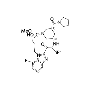 COCCCCn1c(C(=O)C(N[C@H]2C[C@@H](C(=O)N3CCCC3)CN(C(=O)O)C2)C(C)C)nc2cccc(F)c21